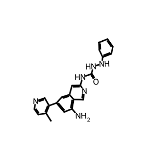 Cc1ccncc1-c1cc(N)c2cnc(NC(=O)NNc3ccccc3)cc2c1